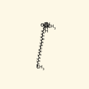 CCCCCCCCCCCCCCCCCCCCCCCCCCC(NC(C)=O)C(=O)O